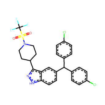 O=S(=O)(N1CCC(c2n[nH]c3ccc(C(c4ccc(Cl)cc4)c4ccc(Cl)cc4)cc23)CC1)C(F)(F)F